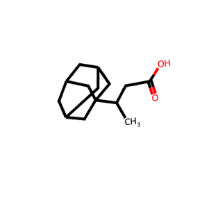 CC(CC(=O)O)C12CC3CC(CC(C3)C1)C2